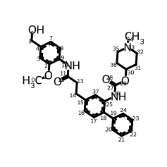 COc1cc(CO)ccc1NC(=O)CCc1ccc(-c2ccccc2)c(NC(=O)OC2CCN(C)CC2)c1